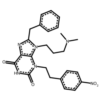 CN(C)CCCn1c(Cc2ccccc2)nc2c(=O)[nH]c(=O)n(CCc3ccc([N+](=O)[O-])cc3)c21